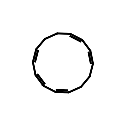 [C]1=CC=CCCC=CC=CCCC=C1